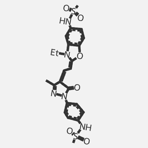 CCN1C(=CC=C2C(=O)N(c3ccc(NS(C)(=O)=O)cc3)N=C2C)Oc2ccc(NS(C)(=O)=O)cc21